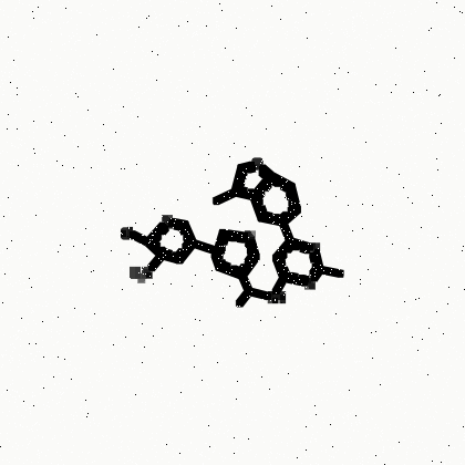 Cc1nc(NC(C)c2cncc(-c3cnc(Cl)c(N)c3)c2)cc(-c2ccc3occ(C)c3c2)n1